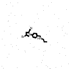 CCCNCc1ccc(-n2cc(Br)cc2C#N)cc1